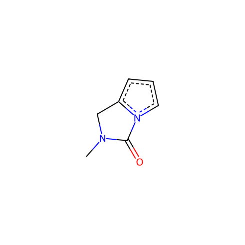 CN1Cc2cccn2C1=O